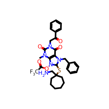 Cn1c2c(c(=O)n(CC(=O)c3ccccc3)c1=O)N(Cc1ccccc1)C(SC1(CN)CCCCCC1)N2OC(=O)C(F)(F)F